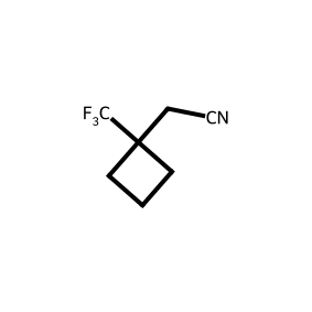 N#CCC1(C(F)(F)F)CCC1